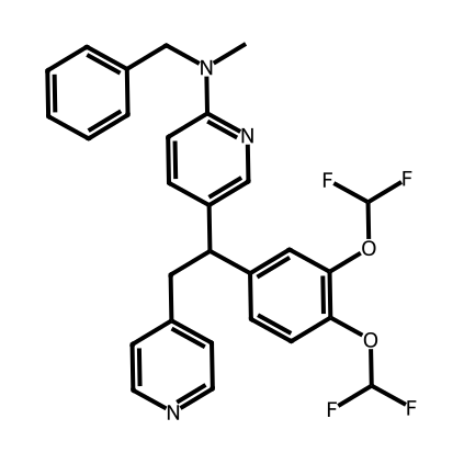 CN(Cc1ccccc1)c1ccc(C(Cc2ccncc2)c2ccc(OC(F)F)c(OC(F)F)c2)cn1